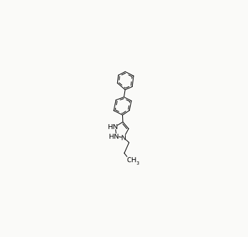 CCCN1C=C(c2ccc(-c3ccccc3)cc2)NN1